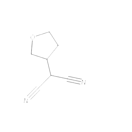 N#CC(C#N)C1CCOC1